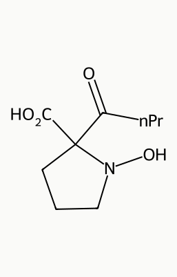 CCCC(=O)C1(C(=O)O)CCCN1O